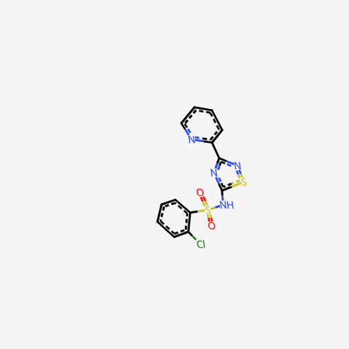 O=S(=O)(Nc1nc(-c2ccccn2)ns1)c1ccccc1Cl